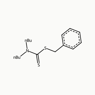 CCCCN(CCCC)C(=S)SCc1ccccc1